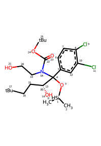 C[SiH](C)OC(c1ccc(Cl)c(Cl)c1)([C@H](O)CCC(C)(C)C)N(CCO)C(=O)OC(C)(C)C